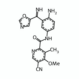 COc1c(C#N)cnc(C(=O)Nc2ccc(N)c(C(=N)c3cnco3)c2)c1C